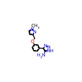 Cn1ccc(COc2cccc(-c3nn[nH]c3N)c2)n1